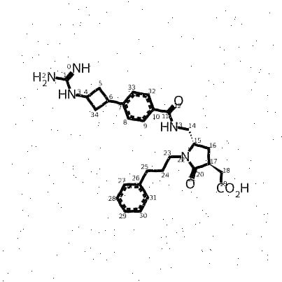 N=C(N)NC1CC(c2ccc(C(=O)NC[C@@H]3C[C@@H](CC(=O)O)C(=O)N3CCCc3ccccc3)cc2)C1